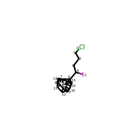 ClCCCC(I)[C]12[CH]3[CH]4[CH]5[CH]1[Fe]45321678[CH]2[CH]1[CH]6[CH]7[CH]28